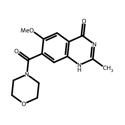 COc1cc2c(=O)nc(C)[nH]c2cc1C(=O)N1CCOCC1